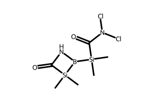 C[Si]1(C)B([Si](C)(C)C(=O)N(Cl)Cl)NC1=O